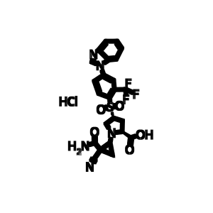 Cl.N#CC1(C(N)=O)CC1N1C[C@H](S(=O)(=O)c2ccc(-n3cnc4ccccc43)cc2C(F)(F)F)C[C@H]1C(=O)O